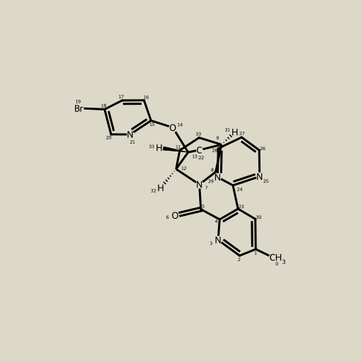 Cc1cnc(C(=O)N2C[C@@H]3CC[C@H]2[C@H](Oc2ccc(Br)cn2)C3)c(-c2ncccn2)c1